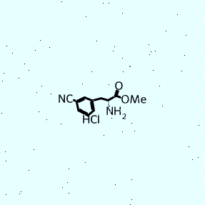 COC(=O)[C@H](N)Cc1cccc(C#N)c1.Cl